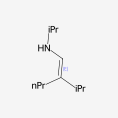 CCC/C(=C\NC(C)C)C(C)C